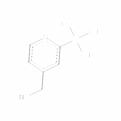 C[Si](C)(C)c1cc(CC#N)ccn1